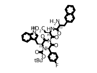 CC(C)(C)OC(=O)N[C@@H](Cc1c[nH]c2ccccc12)C(=O)N(C(=O)Cc1ccc(F)cc1)C(=O)[C@@H](CC(=O)O)NC(=O)[C@@H](N)Cc1ccc2ccccc2c1